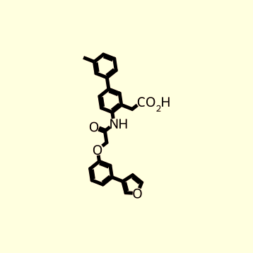 Cc1cccc(-c2ccc(NC(=O)COc3cccc(-c4ccoc4)c3)c(CC(=O)O)c2)c1